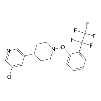 [O]c1cncc(C2CCN(Oc3ccccc3C(F)(F)C(F)(F)F)CC2)c1